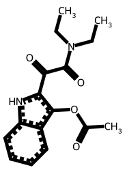 CCN(CC)C(=O)C(=O)c1[nH]c2ccccc2c1OC(C)=O